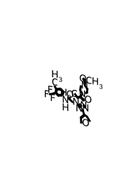 CCc1ccc(NC(=O)Cn2c(C)c(N3CCN(C(C)=O)CC3)c(=O)n3nc(C4=CCOCC4)nc23)cc1C(F)(F)F